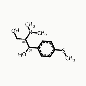 CSc1ccc([C@@H](O)[C@@H](CO)N(C)C)cc1